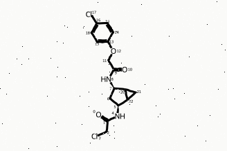 O=C(CCl)N[C@H]1C[C@@H](NC(=O)COc2ccc(Cl)cc2)C2CC21